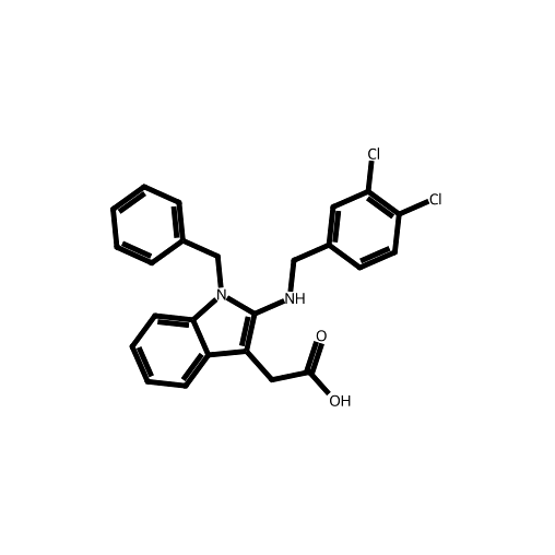 O=C(O)Cc1c(NCc2ccc(Cl)c(Cl)c2)n(Cc2ccccc2)c2ccccc12